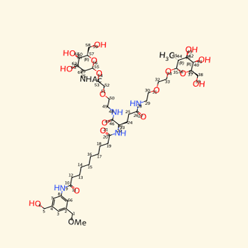 COCc1cc(CO)cc(NC(=O)CCCCCCCCC(=O)N[C@H](CCC(=O)NCCOCCOC2O[C@H](CO)[C@H](O)[C@H](O)[C@H]2C)C(=O)NCCOCCOC2O[C@H](CO)[C@H](O)[C@H](O)[C@H]2NC(C)=O)c1